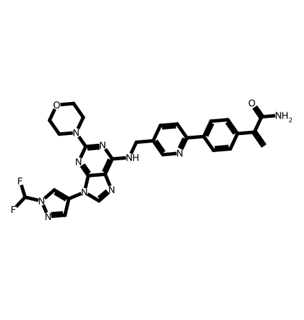 C=C(C(N)=O)c1ccc(-c2ccc(CNc3nc(N4CCOCC4)nc4c3ncn4-c3cnn(C(F)F)c3)cn2)cc1